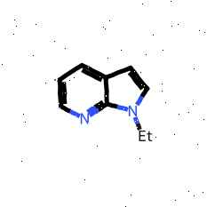 CCn1ccc2c[c]cnc21